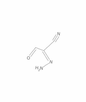 N#CC(C=O)=NN